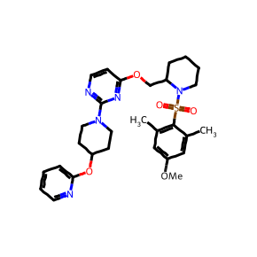 COc1cc(C)c(S(=O)(=O)N2CCCCC2COc2ccnc(N3CCC(Oc4ccccn4)CC3)n2)c(C)c1